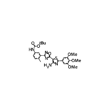 COc1cc(-c2nc(N)c(-c3nc(-c4cc(NC(=O)OC(C)(C)C)ccc4C)no3)s2)cc(OC)c1OC